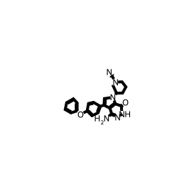 N#CN1CCCC(n2cc(-c3ccc(Oc4ccccc4)cc3)c3c(N)n[nH]c(=O)c32)C1